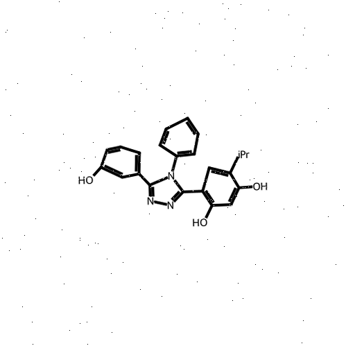 CC(C)c1cc(-c2nnc(-c3cccc(O)c3)n2-c2ccccc2)c(O)cc1O